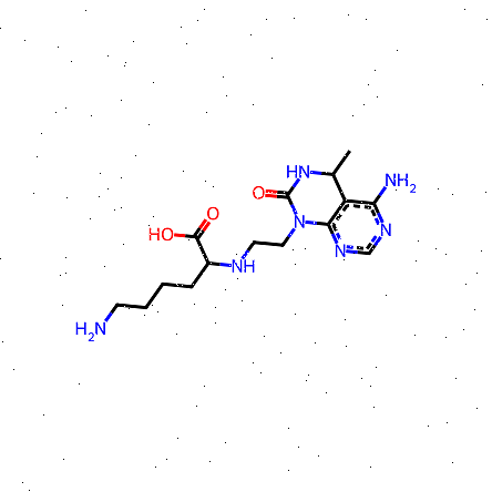 CC1NC(=O)N(CCNC(CCCCN)C(=O)O)c2ncnc(N)c21